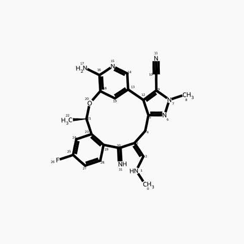 CN/C=C1/Cc2nn(C)c(C#N)c2-c2cnc(N)c(c2)O[C@H](C)c2cc(F)ccc2C1=N